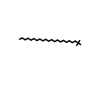 [CH2]CCCCCCCCCCCCCCCCCC[CH]C(C)(C)C